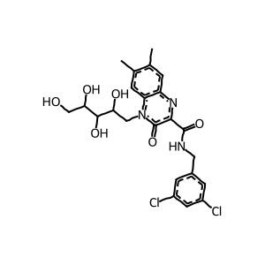 Cc1cc2nc(C(=O)NCc3cc(Cl)cc(Cl)c3)c(=O)n(CC(O)C(O)C(O)CO)c2cc1C